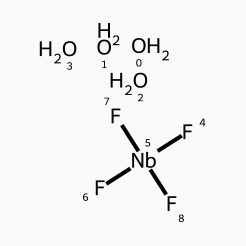 O.O.O.O.[F][Nb]([F])([F])[F]